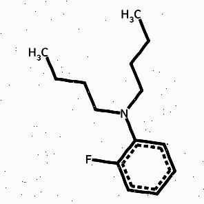 CCCCN(CCCC)c1[c]cccc1F